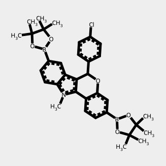 Cn1c2c(c3cc(B4OC(C)(C)C(C)(C)O4)ccc31)C(c1ccc(Cl)cc1)Oc1cc(B3OC(C)(C)C(C)(C)O3)ccc1-2